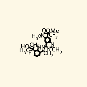 CO[C@]1(C(F)(F)F)C(=O)N(C)c2cc3c(N[C@H](C)c4cccc(C(F)(F)C(C)(C)O)c4F)nc(C)nc3cc21